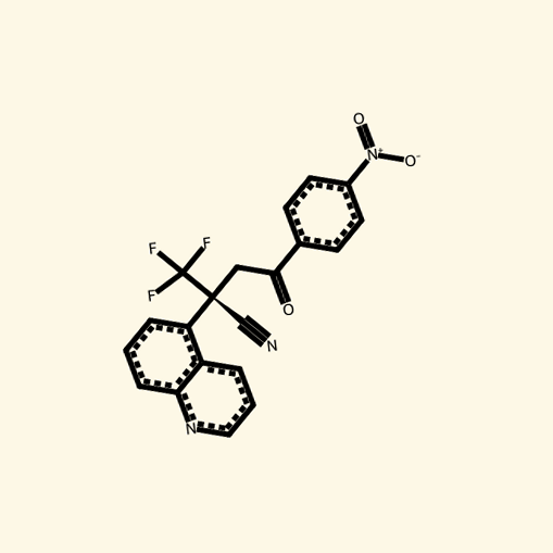 N#C[C@@](CC(=O)c1ccc([N+](=O)[O-])cc1)(c1cccc2ncccc12)C(F)(F)F